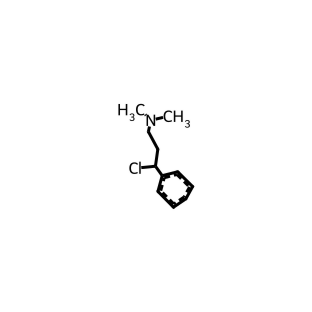 CN(C)CCC(Cl)c1ccccc1